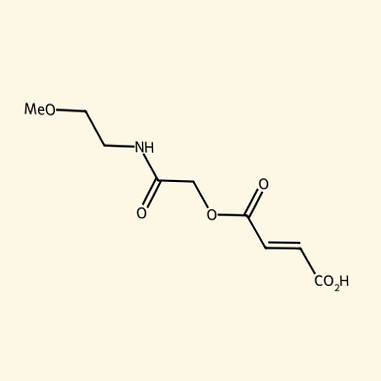 COCCNC(=O)COC(=O)C=CC(=O)O